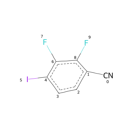 N#Cc1ccc(I)c(F)c1F